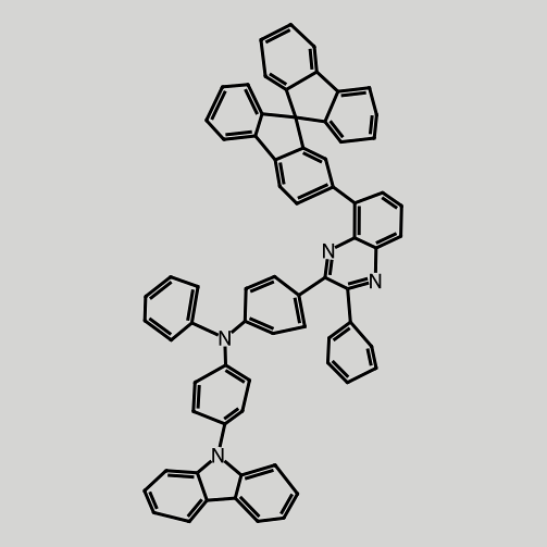 c1ccc(-c2nc3cccc(-c4ccc5c(c4)C4(c6ccccc6-c6ccccc64)c4ccccc4-5)c3nc2-c2ccc(N(c3ccccc3)c3ccc(-n4c5ccccc5c5ccccc54)cc3)cc2)cc1